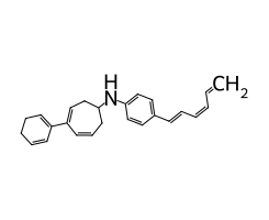 C=C/C=C\C=C\c1ccc(NC2CC=CC(C3=CCCC=C3)=CC2)cc1